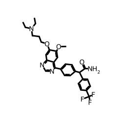 CCN(CC)CCCOc1cc2ncnc(-c3ccc(C(C(N)=O)c4ccc(C(F)(F)F)cc4)cc3)c2cc1OC